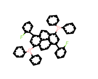 Fc1ccccc1-c1cc(B(c2ccccc2)c2ccccc2)c2ccc3c(-c4ccccc4F)cc(B(c4ccccc4)c4ccccc4)c4ccc1c2c43